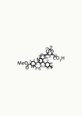 COC(=O)c1ccc2c(n1)CCCc1c-2nc(C(C)C)c(/C=C/[C@@H]2C[C@H](CC(=O)O)OC(C)(C)O2)c1-c1ccc(F)cc1